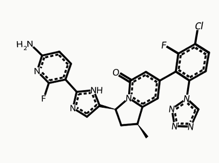 C[C@H]1C[C@@H](c2cnc(-c3ccc(N)nc3F)[nH]2)n2c1cc(-c1c(-n3cnnn3)ccc(Cl)c1F)cc2=O